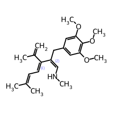 C=C(C)C(=C\C=C(C)C)/C(=C\NC)Cc1cc(OC)c(OC)c(OC)c1